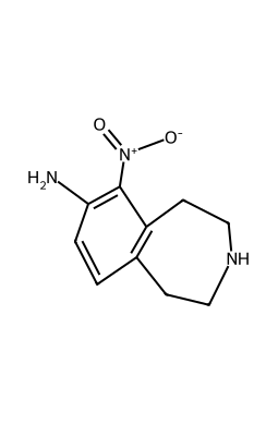 Nc1ccc2c(c1[N+](=O)[O-])CCNCC2